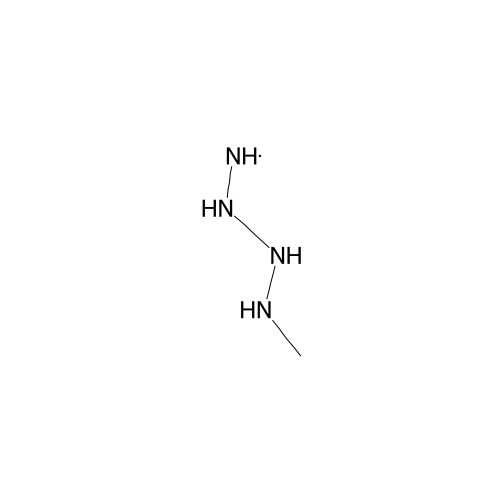 CNNN[NH]